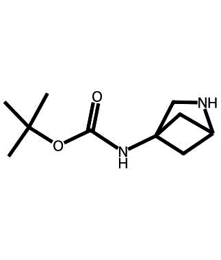 CC(C)(C)OC(=O)NC12CNC(C1)C2